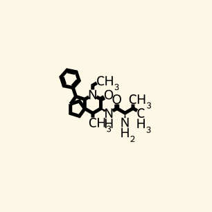 CCN1C(=O)[C@@H](NC(=O)[C@@H](N)C(C)C)C(C)C23CCC(C2)C(c2ccccc2)C13